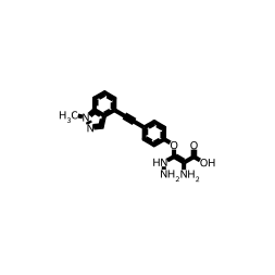 Cn1ncc2c(C#Cc3ccc(O/C(NN)=C(/N)C(=O)O)cc3)cccc21